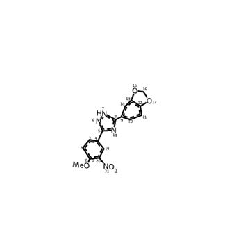 COc1ccc(-c2n[nH]c(-c3ccc4c(c3)OCO4)n2)cc1[N+](=O)[O-]